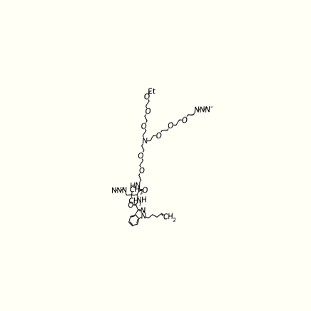 C=CCCCn1nc(C(=O)NC(C(=O)NCCOCCOCCN(CCOCCOCCOCC)CCOCCOCCOCCN=[N+]=[N-])C(C)(C)CN=[N+]=[N-])c2ccccc21